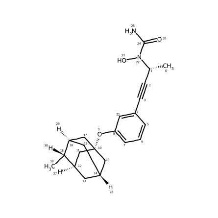 C[C@H](C#Cc1cccc(O[C@]23C[C@H]4C[C@H](C[C@H](C2)[C@H]4C)C3)c1)N(O)C(N)=O